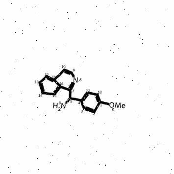 COc1ccc(C(N)c2nccc3ccccc23)cc1